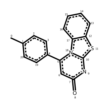 Cc1ccc(-c2cc(=O)nc3sc4ccccc4n23)cc1